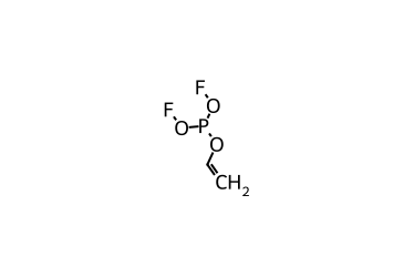 C=COP(OF)OF